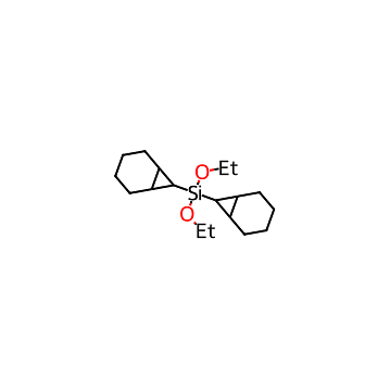 CCO[Si](OCC)(C1C2CCCCC21)C1C2CCCCC21